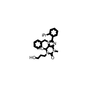 CC(C)c1ccccc1-c1nc2c(n1Cc1ccccc1)C(O)N(CCCO)C(=O)N2C